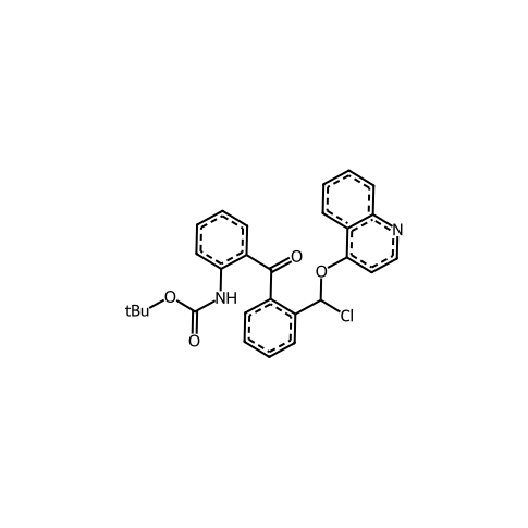 CC(C)(C)OC(=O)Nc1ccccc1C(=O)c1ccccc1C(Cl)Oc1ccnc2ccccc12